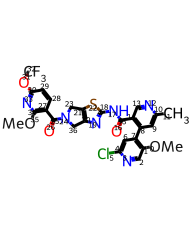 COc1cnc(Cl)cc1-c1cc(C)ncc1C(=O)Nc1nc2c(s1)CN(C(=O)c1ccc(OC(F)(F)F)nc1OC)C2